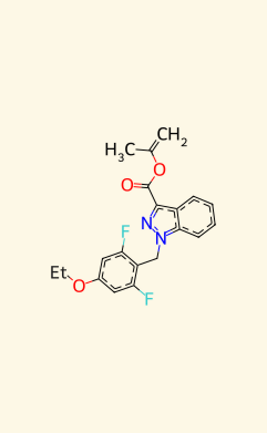 C=C(C)OC(=O)c1nn(Cc2c(F)cc(OCC)cc2F)c2ccccc12